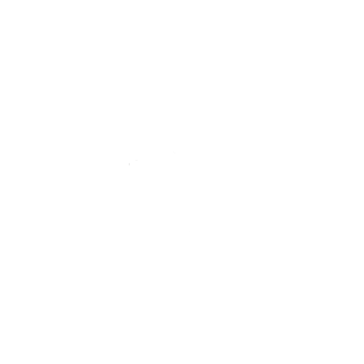 CCc1ccc(-c2ccccc2)cc1Cl